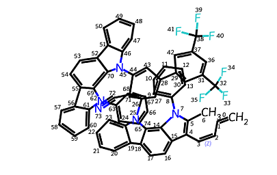 C=C/C=C\c1c(C)n(-c2ccccc2)c2c1ccc1c3ccccc3n(-c3cc(-c4cc(C(F)(F)F)cc(C(F)(F)F)c4)cc(-n4c5ccccc5c5ccc6c7ccccc7n(-c7ccccc7)c6c54)c3C#N)c12